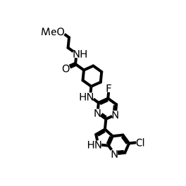 COCCNC(=O)C1CCCC(Nc2nc(-c3c[nH]c4ncc(Cl)cc34)ncc2F)C1